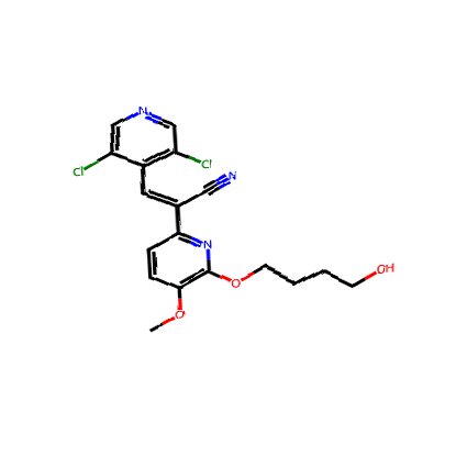 COc1ccc(/C(C#N)=C/c2c(Cl)cncc2Cl)nc1OCCCCO